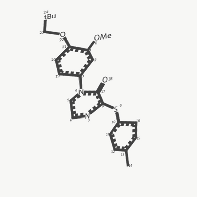 COc1cc(-n2ccnc(Sc3ccc(C)cc3)c2=O)ccc1OCC(C)(C)C